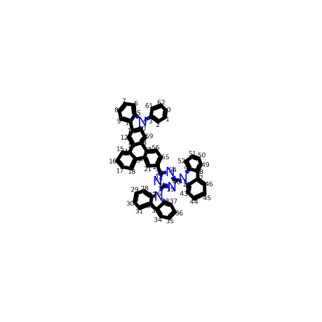 c1ccc(-n2c3ccccc3c3cc4c5ccccc5c5cc(-c6nc(-n7c8ccccc8c8ccccc87)nc(-n7c8ccccc8c8ccccc87)n6)ccc5c4cc32)cc1